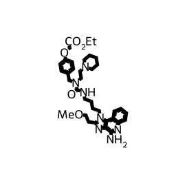 CCOC(=O)COc1ccc(CN(CCN2CCCCC2)C(=O)NCCCCn2c(CCOC)nc3c(N)nc4ccccc4c32)cc1